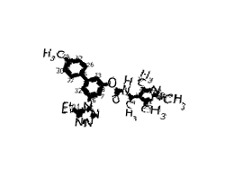 CCc1nnnn1-c1cc(OC(=O)NC(C)c2c(C)nn(C)c2C)cc(-c2ccc(C)cc2)c1